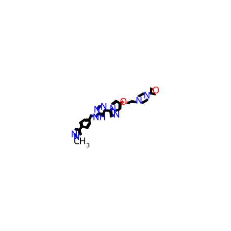 Cn1cc(-c2ccc(CNc3cc(-c4cnc5cc(OCCCN6CCN(C7COC7)CC6)ccn45)ncn3)cc2)cn1